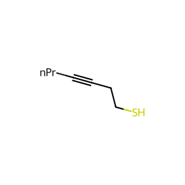 CCCC#CCCS